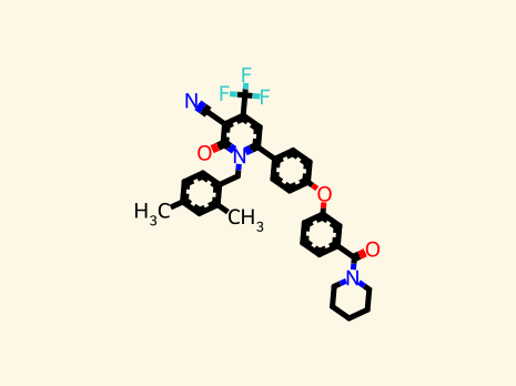 Cc1ccc(Cn2c(-c3ccc(Oc4cccc(C(=O)N5CCCCC5)c4)cc3)cc(C(F)(F)F)c(C#N)c2=O)c(C)c1